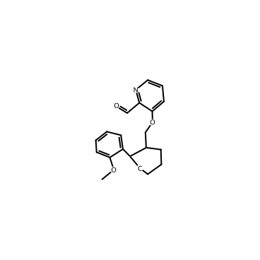 COc1ccccc1C1CCCCC1COc1cccnc1C=O